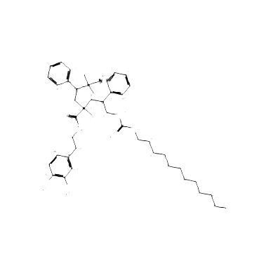 CCCCCCCCCCCCSC(=S)SCC(CC(C)(CC(c1ccccc1)C(C)(C)C#N)C(=O)NCCc1ccc(O)c(O)c1)c1ccccc1